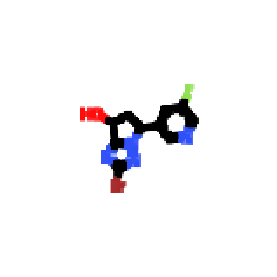 OC1CC(c2cncc(F)c2)n2nc(Br)nc21